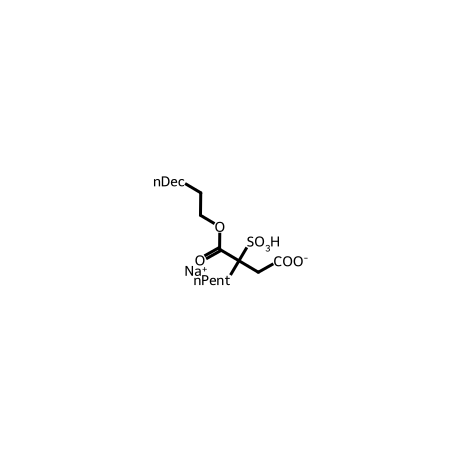 CCCCCCCCCCCCOC(=O)C(CCCCC)(CC(=O)[O-])S(=O)(=O)O.[Na+]